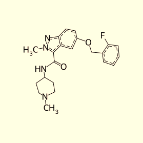 CN1CCC(NC(=O)c2c3cc(OCc4ccccc4F)ccc3nn2C)CC1